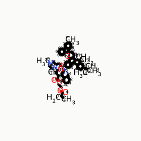 C=C(C)C(=O)OCCOC(=O)CCC(=O)N1C(C)CN(C)CC1COc1cc2c3c(c4c(c2cc1N1CCC2CCCCC2C1)-c1ccc(C(C)(C)C)cc1C4(C)C)C=CC(c1ccccc1)(c1ccc(C)cc1)O3